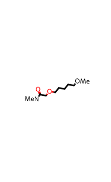 CNC(=O)COCCCCCOC